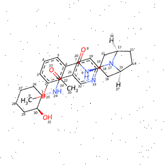 COc1cccc(C(=O)N[C@H]2C[C@H]3CC[C@@H](C2)N3c2ccc(C(=O)N[C@H]3CCCC[C@@H]3O)cn2)c1C